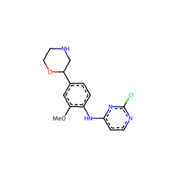 COc1cc(C2CNCCO2)ccc1Nc1ccnc(Cl)n1